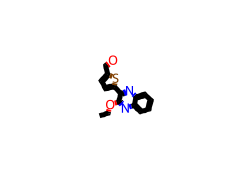 CCOc1nc2ccccc2nc1-c1ccc(C=O)s1